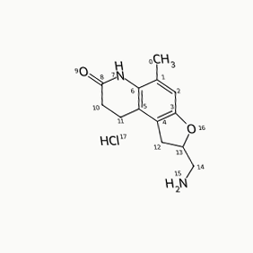 Cc1cc2c(c3c1NC(=O)CC3)CC(CN)O2.Cl